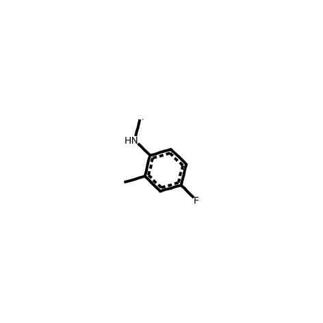 [CH2]Nc1ccc(F)cc1C